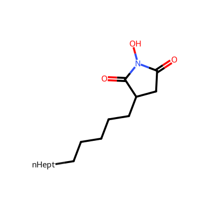 CCCCCCCCCCCCC1CC(=O)N(O)C1=O